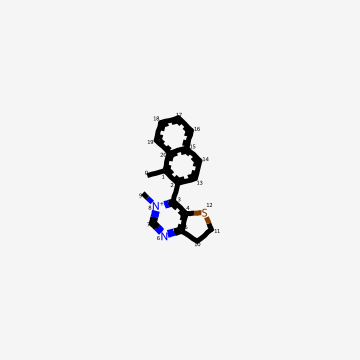 Cc1c(-c2c3c(nc[n+]2C)CCS3)ccc2ccccc12